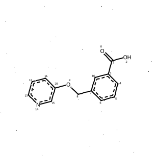 O=C(O)c1cccc(COc2cccnc2)c1